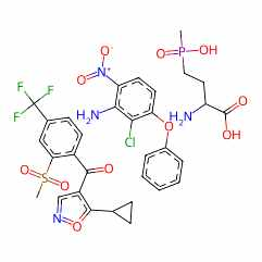 CP(=O)(O)CCC(N)C(=O)O.CS(=O)(=O)c1cc(C(F)(F)F)ccc1C(=O)c1cnoc1C1CC1.Nc1c([N+](=O)[O-])ccc(Oc2ccccc2)c1Cl